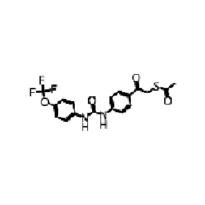 CC(=O)SCC(=O)c1ccc(NC(=O)Nc2ccc(OC(F)(F)F)cc2)cc1